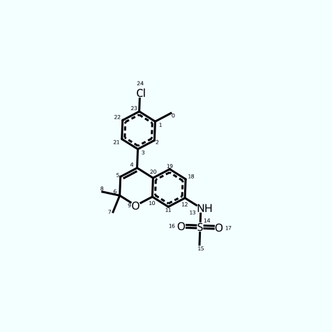 Cc1cc(C2=CC(C)(C)Oc3cc(NS(C)(=O)=O)ccc32)ccc1Cl